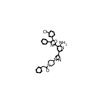 Nc1ncc(-c2cnn(C3CCN(C(=O)Cc4ccccc4)CC3)c2)cc1-c1nc(-c2ccccc2)c(-c2cccc(Cl)c2)o1